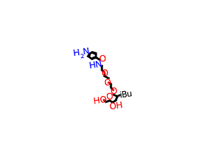 CCC(C)C1CC(O)C(CO)OC1OCCOCCOCCNC(=O)c1ccc(N)cc1